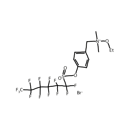 CCO[N+](C)(C)Cc1ccc(OS(=O)(=O)C(F)(F)C(F)(F)C(F)(F)C(F)(F)C(F)(F)C(F)(F)F)cc1.[Br-]